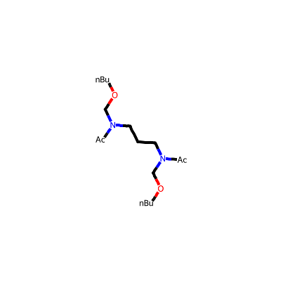 CCCCOCN(CCCN(COCCCC)C(C)=O)C(C)=O